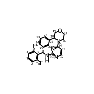 Fc1cccc(F)c1CNc1nccc(N2CCOCC2c2ccccc2)n1